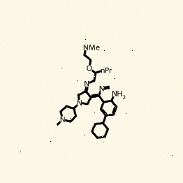 C=N/C(=C1/CN(C2CCN(C)CC2)C/C1=N/CC(CCC)OCCNC)C1C=C(C2CCCCC2)C=CC1N